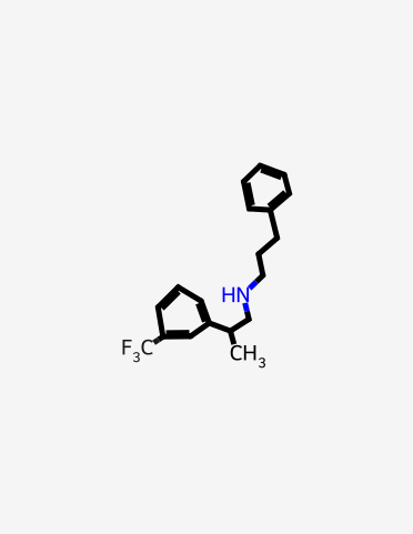 CC(CNCCCc1ccccc1)c1cccc(C(F)(F)F)c1